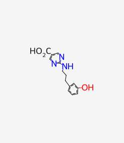 O=C(O)c1cnc(NCCCc2cccc(O)c2)nc1